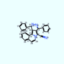 N#Cc1c2c(-c3ccccc3)nnc(-c3ccccc3)c2c2c3ccccc3ccn12